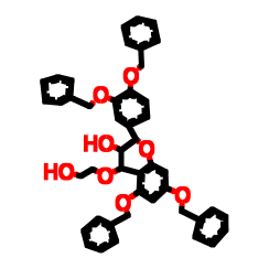 OCCOC1c2c(OCc3ccccc3)cc(OCc3ccccc3)cc2OC(c2ccc(OCc3ccccc3)c(OCc3ccccc3)c2)C1O